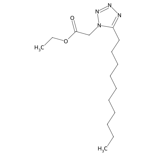 CCCCCCCCCCc1nnnn1CC(=O)OCC